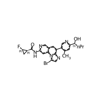 CCC[C@H](O)c1cc(C)c(-c2cc3cnc(NC(=O)[C@H]4C[C@H]4F)cc3n3c(Br)cnc23)cn1